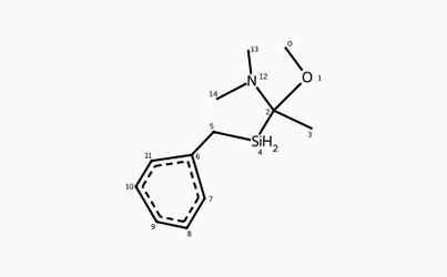 COC(C)([SiH2]Cc1ccccc1)N(C)C